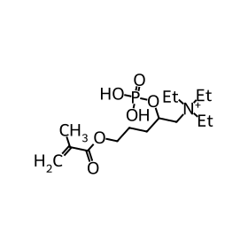 C=C(C)C(=O)OCCCC(C[N+](CC)(CC)CC)OP(=O)(O)O